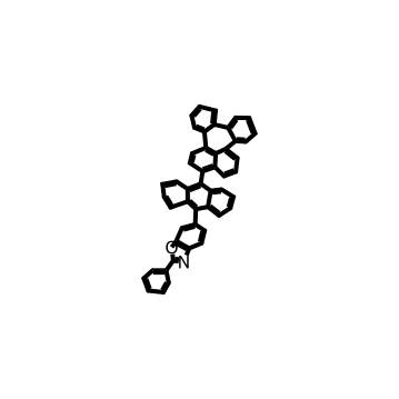 c1ccc(-c2nc3ccc(-c4c5ccccc5c(-c5ccc6c7c(cccc57)-c5ccccc5-c5ccccc5-6)c5ccccc45)cc3o2)cc1